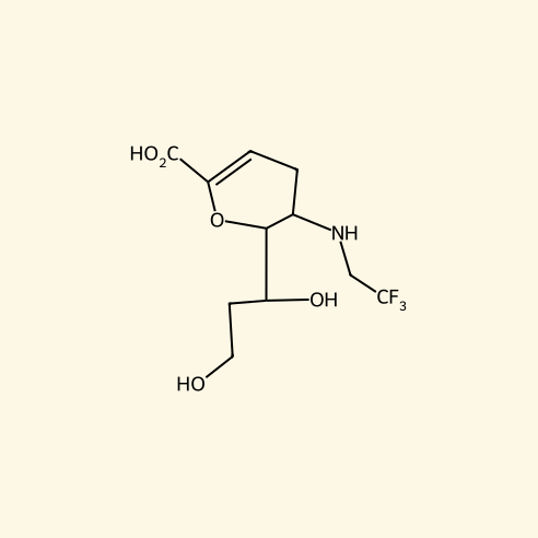 O=C(O)C1=CCC(NCC(F)(F)F)C(C(O)CCO)O1